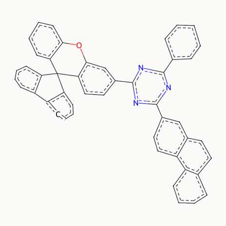 c1ccc(-c2nc(-c3ccc4c(c3)Oc3ccccc3C43c4ccccc4-c4ccccc43)nc(-c3ccc4c(ccc5ccccc54)c3)n2)cc1